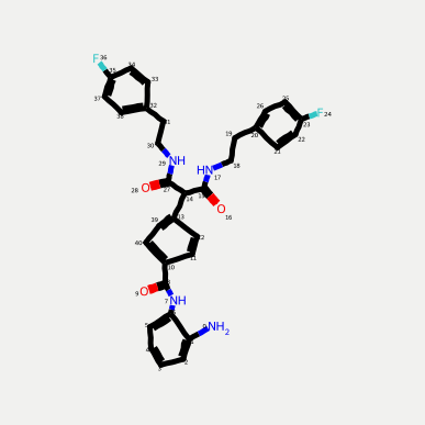 Nc1ccccc1NC(=O)c1ccc(C(C(=O)NCCc2ccc(F)cc2)C(=O)NCCc2ccc(F)cc2)cc1